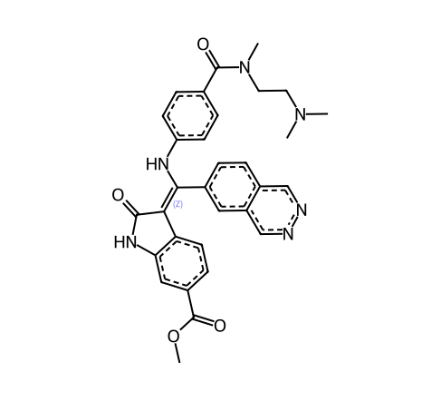 COC(=O)c1ccc2c(c1)NC(=O)/C2=C(\Nc1ccc(C(=O)N(C)CCN(C)C)cc1)c1ccc2cnncc2c1